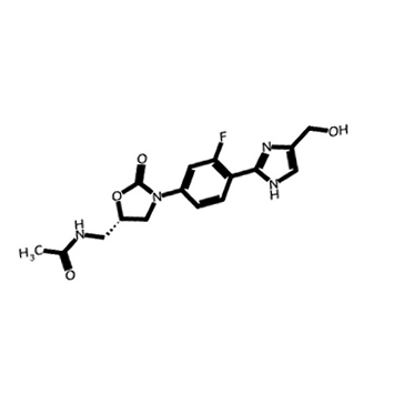 CC(=O)NC[C@H]1CN(c2ccc(-c3nc(CO)c[nH]3)c(F)c2)C(=O)O1